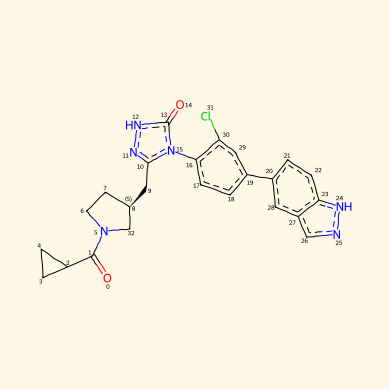 O=C(C1CC1)N1CC[C@@H](Cc2n[nH]c(=O)n2-c2ccc(-c3ccc4[nH]ncc4c3)cc2Cl)C1